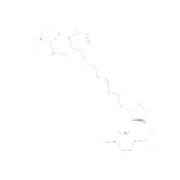 COc1ccc(N(C)Cc2cn(CCCCCCSc3ccnc4cc(C(F)(F)F)ccc34)cn2)cc1